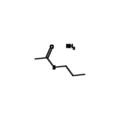 CCCSC(C)=O.N